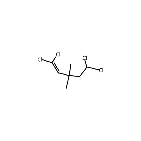 CC(C)(C=C(Cl)Cl)CC(Cl)Cl